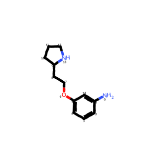 Nc1cccc(OCCC2CCCN2)c1